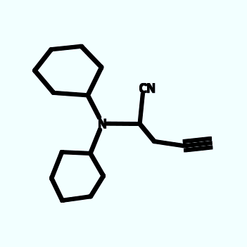 C#CCC(C#N)N(C1CCCCC1)C1CCCCC1